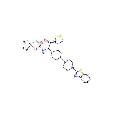 CC(C)(C)OC(=O)NC(C(=O)N1CCSC1)C1CCC(N2CCN(c3nc4ccccc4s3)CC2)CC1